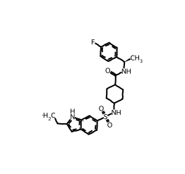 [CH2]Cc1cc2ccc(S(=O)(=O)NC3CCC(C(=O)N[C@H](C)c4ccc(F)cc4)CC3)cc2[nH]1